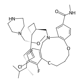 CNC(=O)c1ccc2c(c1)N(C[C@@H]1CC[C@H]1[C@@](CN1CCNCC1)(OC)C1=C[C@H]([C@H](C)C(C)C)C1)Cc1ccc(Cl)c(F)c1CCCCO2